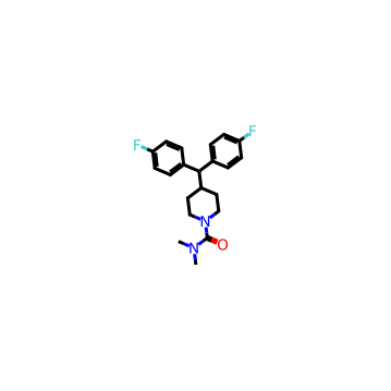 CN(C)C(=O)N1CCC(C(c2ccc(F)cc2)c2ccc(F)cc2)CC1